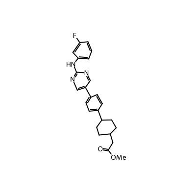 COC(=O)CC1CCC(c2ccc(-c3cnc(Nc4cccc(F)c4)nc3)cc2)CC1